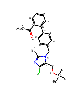 CCC(C)c1nc(Cl)c(CO[Si](C)(C)C(C)(C)C)n1Cc1ccc(-c2ccccc2C(=O)OC)cc1